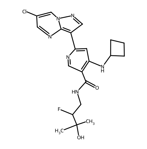 CC(C)(O)C(F)CNC(=O)c1cnc(-c2cnn3cc(Cl)cnc23)cc1NC1CCC1